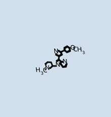 COc1ccc(-c2cncc(-c3cn(CC4CCCN(C)C4)c4cccnc34)c2)cc1